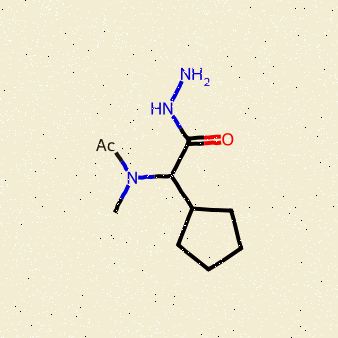 CC(=O)N(C)C(C(=O)NN)C1CCCC1